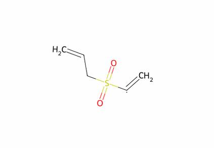 C=[C]S(=O)(=O)CC=C